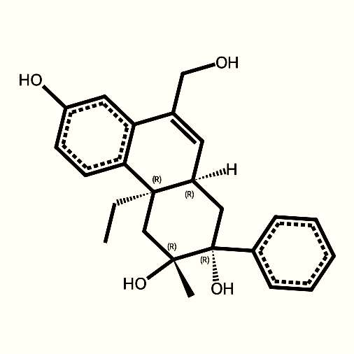 CC[C@@]12C[C@@](C)(O)[C@](O)(c3ccccc3)C[C@@H]1C=C(CO)c1cc(O)ccc12